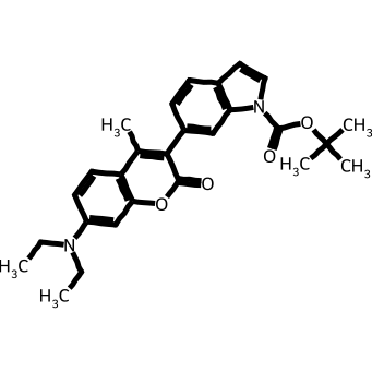 CCN(CC)c1ccc2c(C)c(-c3ccc4ccn(C(=O)OC(C)(C)C)c4c3)c(=O)oc2c1